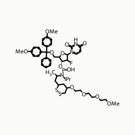 COCCOCCOCCOC1CSSC(CC(C)N(C(C)C)P(O)O[C@@H]2C(COC(c3ccccc3)(c3ccc(OC)cc3)c3ccc(OC)cc3)OC(n3ccc(=O)[nH]c3=O)C2F)C1